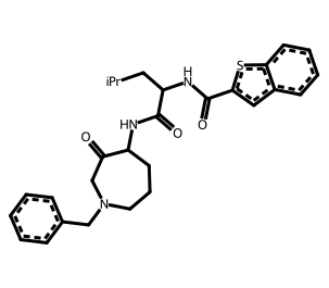 CC(C)CC(NC(=O)c1cc2ccccc2s1)C(=O)NC1CCCN(Cc2ccccc2)CC1=O